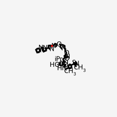 Cc1ncsc1-c1ccc([C@H](C)NC(=O)[C@@H]2C[C@@H](O)CN2C(=O)[C@@H](c2cc(OCCN3CCC(OC4CN(c5ccc(-c6ccn7c(n6)nc6ccccc67)cn5)C4)CC3)no2)C(C)C)cc1